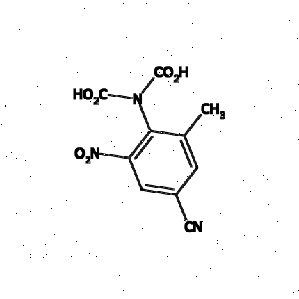 Cc1cc(C#N)cc([N+](=O)[O-])c1N(C(=O)O)C(=O)O